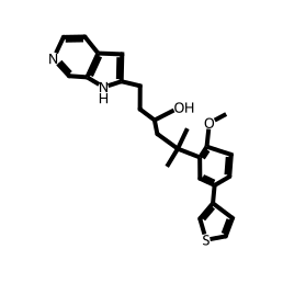 COc1ccc(-c2ccsc2)cc1C(C)(C)CC(O)CCc1cc2ccncc2[nH]1